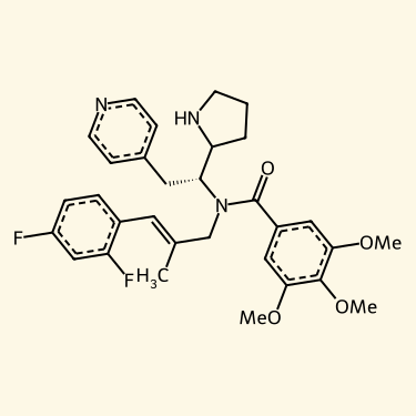 COc1cc(C(=O)N(CC(C)=Cc2ccc(F)cc2F)[C@H](Cc2ccncc2)C2CCCN2)cc(OC)c1OC